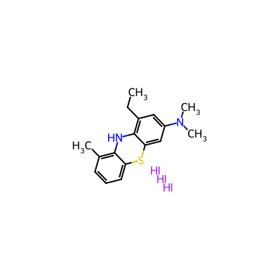 CCc1cc(N(C)C)cc2c1Nc1c(C)cccc1S2.I.I.I